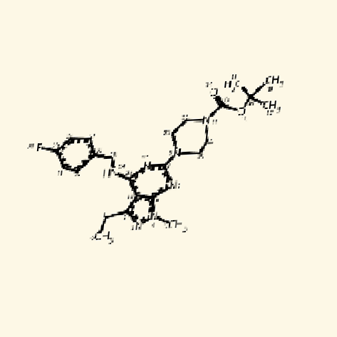 CCc1nn(C)c2nc(N3CCN(C(=O)OC(C)(C)C)CC3)nc(NCc3ccc(F)cc3)c12